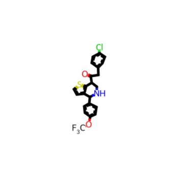 O=C(Cc1ccc(Cl)cc1)C1CNC(c2ccc(OC(F)(F)F)cc2)c2ccsc21